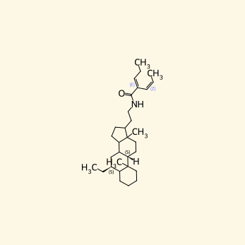 C/C=C\C(=C/CC)C(=O)NCCC1CCC2C3C[C@H](CC)C4CCCCC4(C)[C@H]3CCC12C